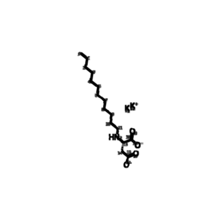 CCCCCCCCCCCCN[C@@H](CC(=O)[O-])C(=O)[O-].[K+].[K+]